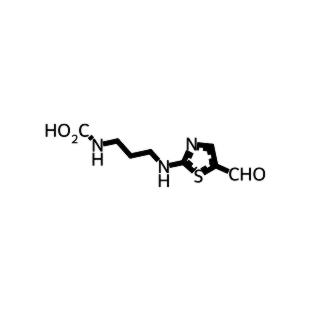 O=Cc1cnc(NCCCNC(=O)O)s1